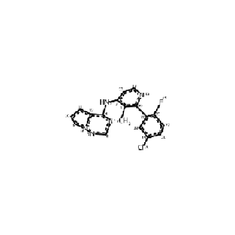 Cc1c(Nc2ncnn3cccc23)ccnc1-c1cc(Cl)ccc1F